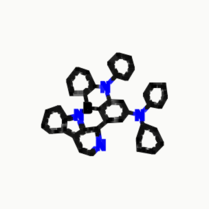 c1ccc(N(c2ccccc2)c2cc3c4c(c2)N(c2ccccc2)c2ccccc2B4n2c4ccccc4c4ccnc-3c42)cc1